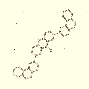 O=c1c2cc(-c3ccc4ccc5ccccc5c4c3)ccc2sc2ccc(-c3ccc4ccc5ccccc5c4c3)cc12